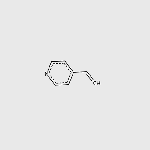 [CH]=Cc1ccncc1